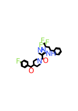 O=C(c1ccc(F)cc1)C1CCN(C(=O)c2cnn3c2NC(c2ccccc2)CC3C(F)(F)F)CC1